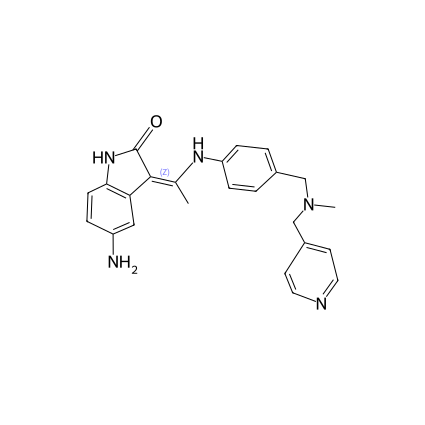 C/C(Nc1ccc(CN(C)Cc2ccncc2)cc1)=C1/C(=O)Nc2ccc(N)cc21